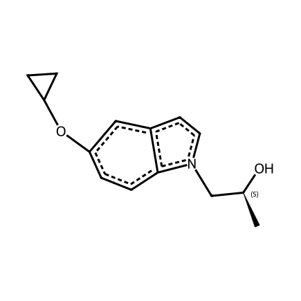 C[C@H](O)Cn1ccc2cc(OC3CC3)ccc21